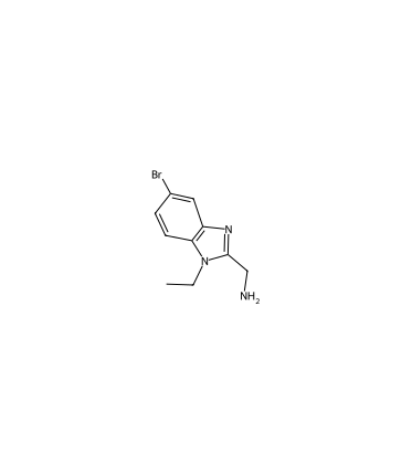 CCn1c(CN)nc2cc(Br)ccc21